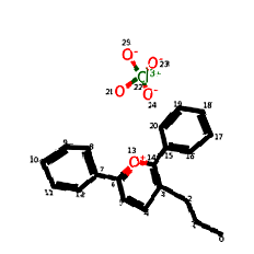 CCCc1ccc(-c2ccccc2)[o+]c1-c1ccccc1.[O-][Cl+3]([O-])([O-])[O-]